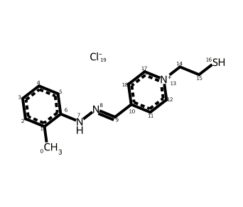 Cc1ccccc1NN=Cc1cc[n+](CCS)cc1.[Cl-]